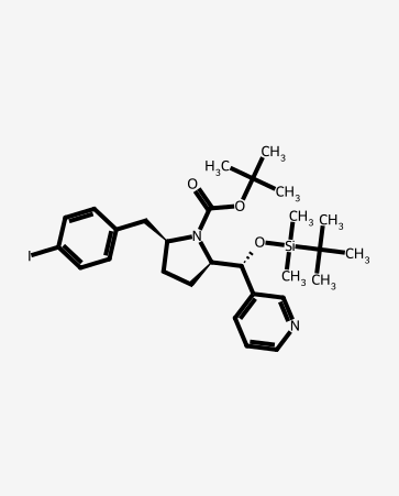 CC(C)(C)OC(=O)N1[C@H](Cc2ccc(I)cc2)CC[C@@H]1[C@H](O[Si](C)(C)C(C)(C)C)c1cccnc1